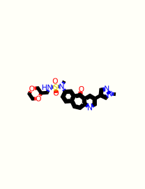 CN(c1ccc2ccc3ncc(-c4cnn(C)c4)cc3c(=O)c2c1)S(=O)(=O)NCC1COCCO1